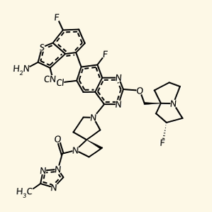 Cc1ncn(C(=O)N2CC[C@]23CCN(c2nc(OC[C@@]45CCCN4C[C@H](F)C5)nc4c(F)c(-c5ccc(F)c6sc(N)c(C#N)c56)c(Cl)cc24)C3)n1